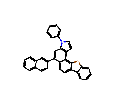 c1ccc(-n2ccc3c4c(ccc5c6ccccc6sc54)c(-c4ccc5ccccc5c4)cc32)cc1